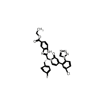 CCOC(=O)c1ccc2[nH]c([C@@H](Cc3ccc(F)cc3)n3ccc(-c4cc(Cl)ccc4-n4cnnn4)cc3=O)nc2c1